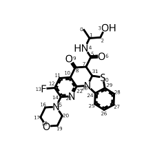 CC(CO)NC(=O)C1C(=O)c2cc(F)c(N3CCOCC3)nc2N2c3ccccc3SC12